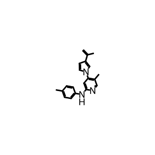 C=C(C)c1ccn(-c2cc(Nc3ccc(C)cc3)ncc2C)c1